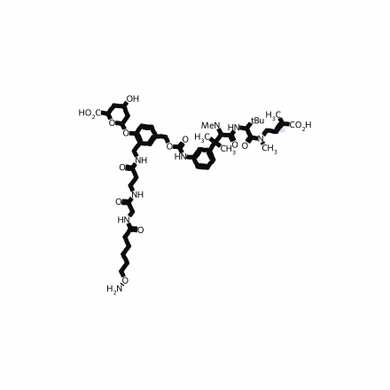 CNC(C(=O)NC(C(=O)N(C)C/C=C(\C)C(=O)O)C(C)(C)C)C(C)(C)c1cccc(NC(=O)OCc2ccc(OC3CC(O)CC(C(=O)O)O3)c(CNC(=O)CCNC(=O)CNC(=O)CCCCCON)c2)c1